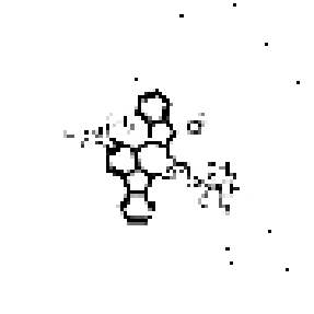 C[Si](C)(C)OCOC1=Cc2ccccc2C1c1c2c(cc3c1[Si]3(C)C)-c1ccccc1[CH]2[Zr+2].[Cl-].[Cl-]